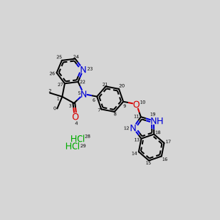 CC1(C)C(=O)N(c2ccc(Oc3nc4ccccc4[nH]3)cc2)c2ncccc21.Cl.Cl